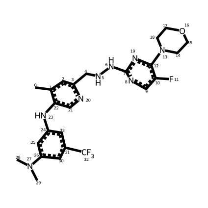 Cc1cc(CNNc2ncc(F)c(N3CCOCC3)n2)ncc1Nc1cc(N(C)C)cc(C(F)(F)F)c1